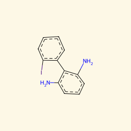 Nc1cccc(N)c1-c1ccccc1I